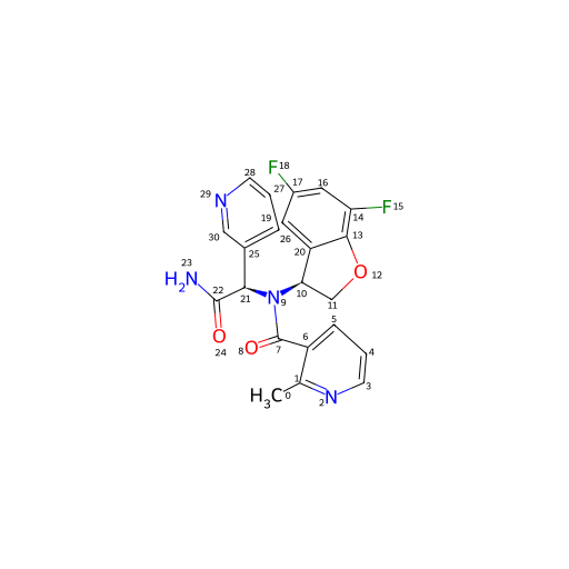 Cc1ncccc1C(=O)N([C@@H]1COc2c(F)cc(F)cc21)[C@@H](C(N)=O)c1cccnc1